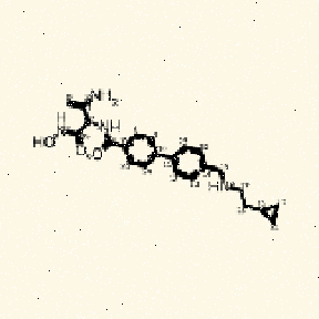 C=C(N)[C@H](NC(=O)c1ccc(-c2ccc(CNCCC3CC3)cc2)cc1)C(=O)NO